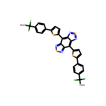 COC(F)(F)c1ccc(-c2ccc(-c3c4c(c(-c5ccc(-c6ccc(C(F)(F)OC)cc6)s5)c5nsnc35)N=S=N4)s2)cc1